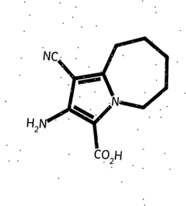 N#Cc1c(N)c(C(=O)O)n2c1CCCCC2